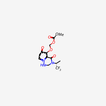 COC(=O)OCOc1c2n(ccc1=O)NCN([C@H](C)C(F)(F)F)C2=O